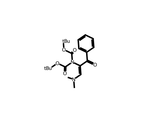 CN(C)/C=C(/C(=O)c1ccccc1)N(C(=O)OC(C)(C)C)C(=O)OC(C)(C)C